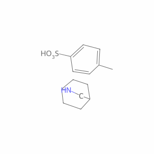 C1CC2CCC1CN2.Cc1ccc(S(=O)(=O)O)cc1